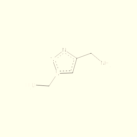 BCn1cc(CN)nn1